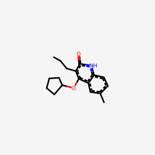 CCCc1c(OC2CCCC2)c2cc(C)ccc2[nH]c1=O